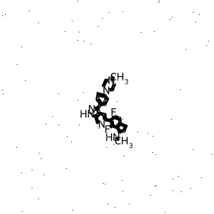 CNC1CCc2cc(F)c(-c3cc4c(-c5ccc(N6CCN(C)CC6)cc5)n[nH]c4cn3)c(F)c21